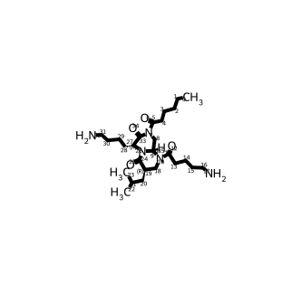 CCCCCC(=O)N1C[C@@H]2N(C(=O)CCCCN)C[C@@H](CC(C)C)C(=O)N2[C@H](CCCCN)C1=O